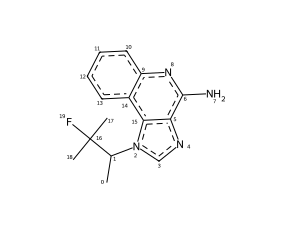 CC(n1cnc2c(N)nc3ccccc3c21)C(C)(C)F